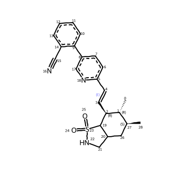 C[C@H]1[C@H](/C=C/c2ccc(-c3ccccc3C#N)cn2)C2C(CNS2(=O)=O)C[C@@H]1C